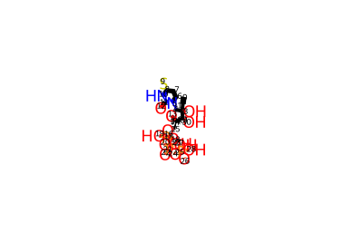 C#CC1(O)C(n2ccc(=S)[nH]c2=O)O[C@H](COP(=O)(O)OP(=O)(O)OP(=O)(O)O)[C@@H]1O